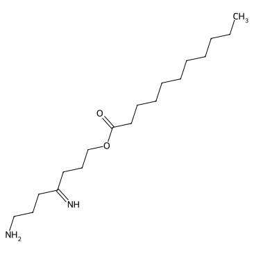 CCCCCCCCCCC(=O)OCCCC(=N)CCCN